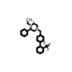 CCN1CCN(Cc2ccc(-c3ccccc3C(F)(F)F)cc2)CC1c1ccccc1